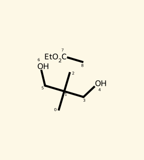 CC(C)(CO)CO.CCOC(C)=O